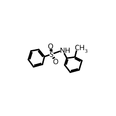 Cc1ccccc1NS(=O)(=O)c1ccccc1